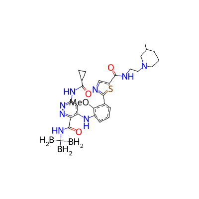 BC(B)(B)NC(=O)c1nnc(NC(=O)C2CC2)cc1Nc1cccc(-c2ncc(C(=O)NCCN3CCCC(C)C3)s2)c1OC